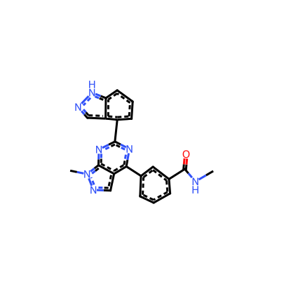 CNC(=O)c1cccc(-c2nc(-c3cccc4[nH]ncc34)nc3c2cnn3C)c1